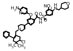 CC1(C)CC(c2ccccc2)=C(CN2CC=C(c3ccc(C(=O)NS(=O)(=O)c4ccc(NCC5CCOCC5)c([N+](=O)[O-])c4)c(Oc4ccc(N)nc4)c3)CC2)CC1Cl